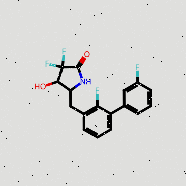 O=C1NC(Cc2cccc(-c3cccc(F)c3)c2F)C(O)C1(F)F